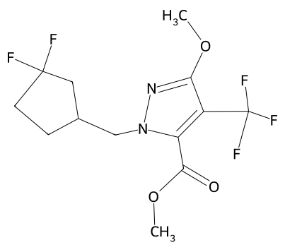 COC(=O)c1c(C(F)(F)F)c(OC)nn1CC1CCC(F)(F)C1